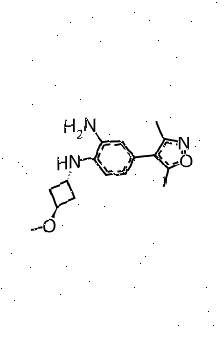 CO[C@H]1C[C@H](Nc2ccc(-c3c(C)noc3C)cc2N)C1